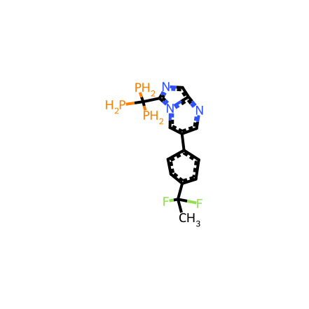 CC(F)(F)c1ccc(-c2cnc3cnc(C(P)(P)P)n3c2)cc1